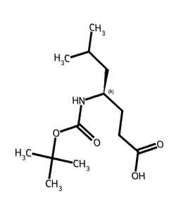 CC(C)C[C@@H](CCC(=O)O)NC(=O)OC(C)(C)C